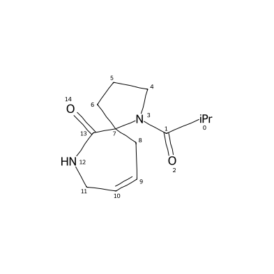 CC(C)C(=O)N1CCCC12CC=CCNC2=O